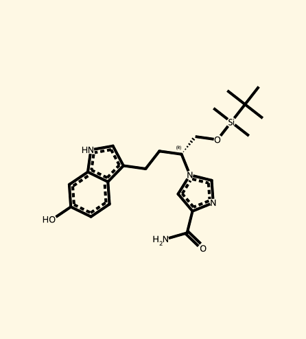 CC(C)(C)[Si](C)(C)OC[C@@H](CCc1c[nH]c2cc(O)ccc12)n1cnc(C(N)=O)c1